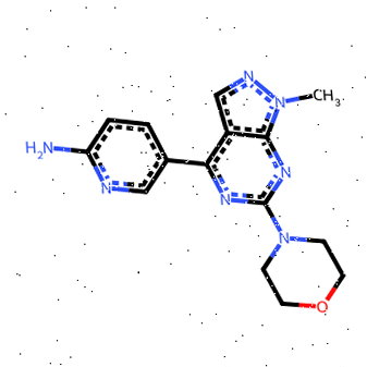 Cn1ncc2c(-c3ccc(N)nc3)nc(N3CCOCC3)nc21